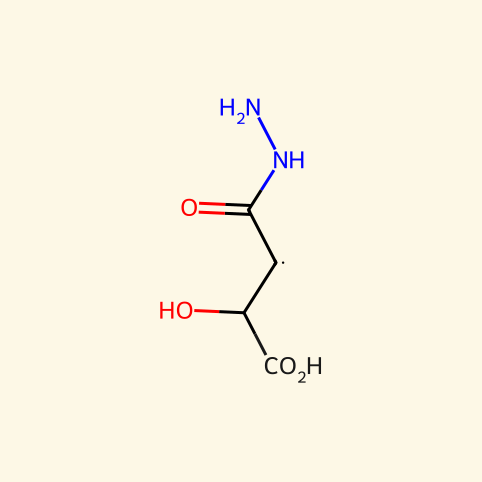 NNC(=O)[CH]C(O)C(=O)O